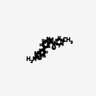 CN1CCN(C(=O)c2cnn3ccc(-c4ccc5oc(N)nc5c4)cc23)CC1